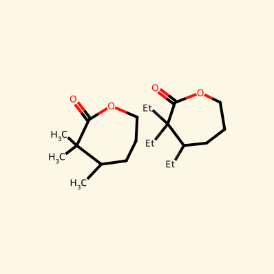 CC1CCCOC(=O)C1(C)C.CCC1CCCOC(=O)C1(CC)CC